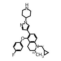 C[C@H]1CCc2c(ccc(-c3cnn(C4CCNCC4)c3)c2Oc2ccc(F)cc2)N1[C]C1CC1